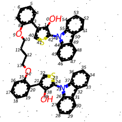 Oc1c(-c2ccccc2OCCCCOc2ccccc2-c2csc(-n3c4ccccc4c4ccccc43)c2O)csc1-n1c2ccccc2c2ccccc21